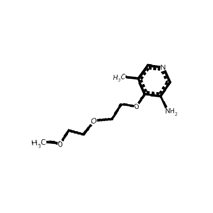 COCCOCCOc1c(C)cncc1N